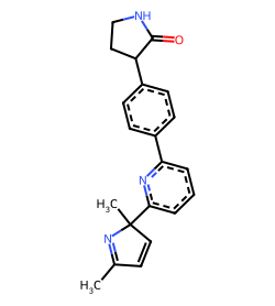 CC1=NC(C)(c2cccc(-c3ccc(C4CCNC4=O)cc3)n2)C=C1